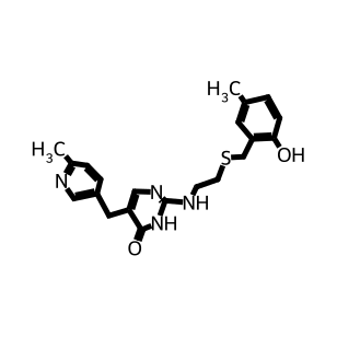 Cc1ccc(O)c(CSCCNc2ncc(Cc3ccc(C)nc3)c(=O)[nH]2)c1